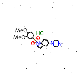 COc1ccc(S(=O)(=O)n2ccc3cc(N4CCN(C)CC4)ccc32)cc1OC.Cl